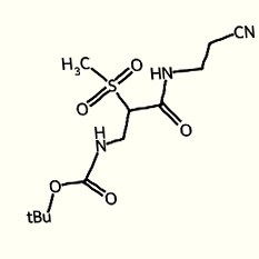 CC(C)(C)OC(=O)NCC(C(=O)NCCC#N)S(C)(=O)=O